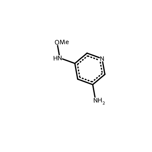 CONc1cncc(N)c1